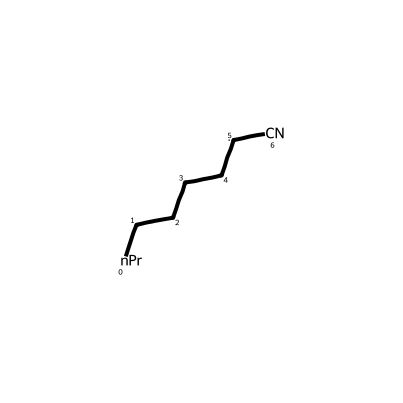 CCCCCCC[CH]C#N